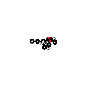 C1=C(c2ccc(-c3ccccc3)cc2)N=C(c2cccc3oc4ccc(-c5cccc6oc7ccccc7c56)cc4c23)N=C(c2ccccc2)C1